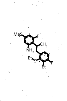 CCSc1c(CC(C)c2c(N)cc(SC)cc2F)ccc(F)c1CC